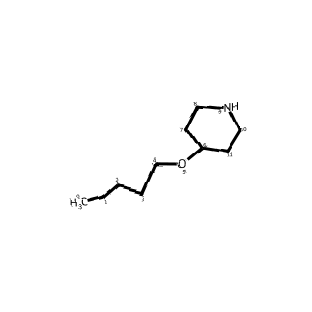 CCCC[CH]OC1CCNCC1